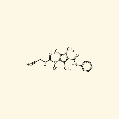 C#CCNC(=O)[S+]([O-])c1c(C)c(C(=O)Nc2ccccc2)n(C)c1C